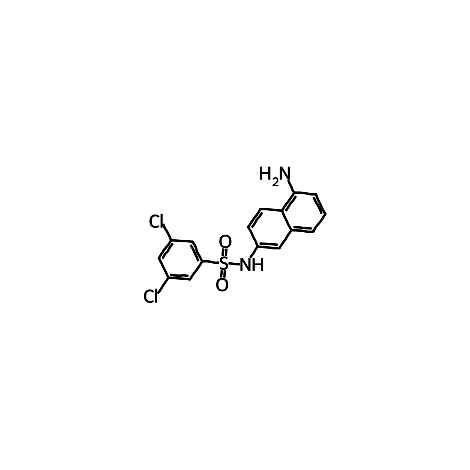 Nc1cccc2cc(NS(=O)(=O)c3cc(Cl)cc(Cl)c3)ccc12